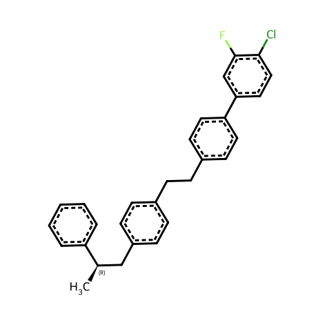 C[C@H](Cc1ccc(CCc2ccc(-c3ccc(Cl)c(F)c3)cc2)cc1)c1ccccc1